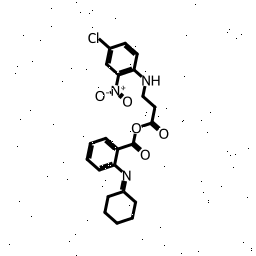 O=C(CCNc1ccc(Cl)cc1[N+](=O)[O-])OC(=O)c1ccccc1N=C1CCCCC1